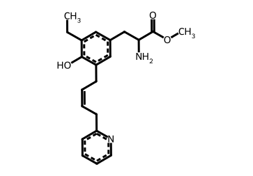 CCc1cc(CC(N)C(=O)OC)cc(C/C=C\Cc2ccccn2)c1O